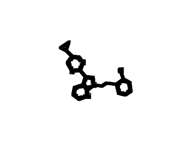 Clc1ccccc1CCn1cc(-c2ncc(C3CC3)cn2)c2cccnc21